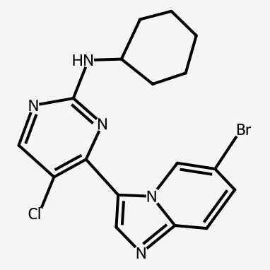 Clc1cnc(NC2CCCCC2)nc1-c1cnc2ccc(Br)cn12